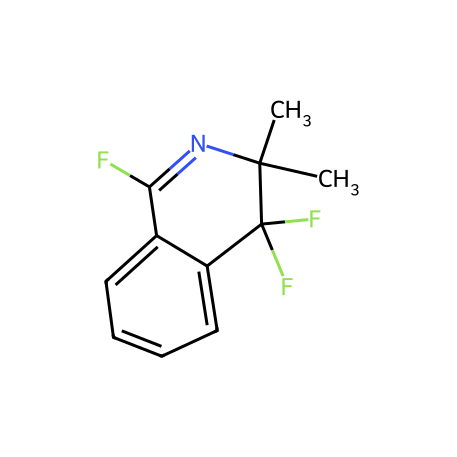 CC1(C)N=C(F)c2ccccc2C1(F)F